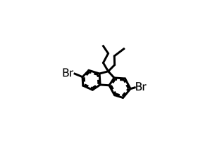 CCCC1(CCC)c2cc(Br)ccc2-c2ccc(Br)cc21